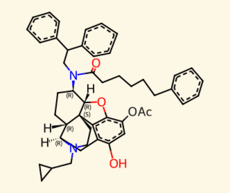 CC(=O)Oc1cc(O)c2c3c1O[C@H]1[C@H](N(CC(c4ccccc4)c4ccccc4)C(=O)CCCCCc4ccccc4)CC[C@H]4[C@@H](C2)N(CC2CC2)CC[C@@]341